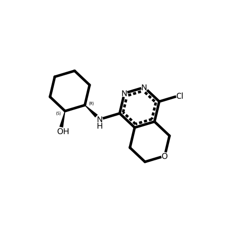 O[C@H]1CCCC[C@H]1Nc1nnc(Cl)c2c1CCOC2